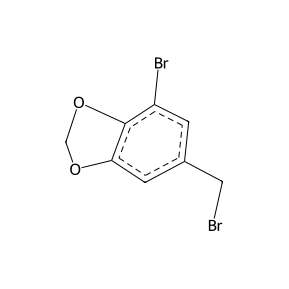 BrCc1cc(Br)c2c(c1)OCO2